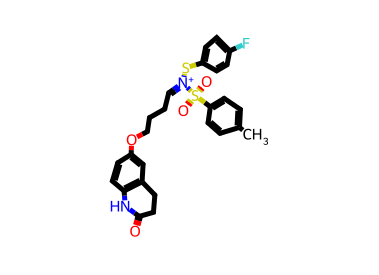 Cc1ccc(S(=O)(=O)[N+](=CCCCOc2ccc3c(c2)CCC(=O)N3)Sc2ccc(F)cc2)cc1